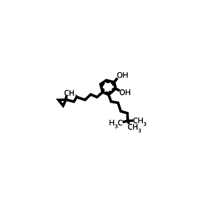 CC(C)(C)CCCCc1c(CCCCCC2(C)CC2)ccc(O)c1O